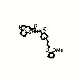 COc1ccccc1OCCCN1CCC(CNC(=O)C2=Cc3cnc4cccc(n34)S2)CC1.Cl.Cl